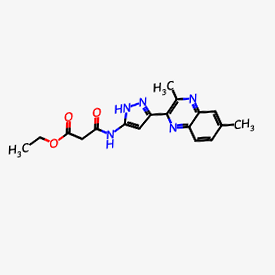 CCOC(=O)CC(=O)Nc1cc(-c2nc3ccc(C)cc3nc2C)n[nH]1